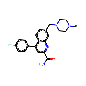 CCN1CCN(Cc2ccc3c(-c4ccc(F)cc4)cc(C(N)=O)nc3c2)CC1